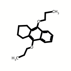 CCCOc1c2c(c(OCCC)c3ccccc13)CCCC2